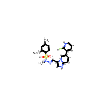 COc1cc(C)ccc1S(=O)(=O)N(C)/N=C/c1cnc2ccc(-c3cccnc3F)cn12